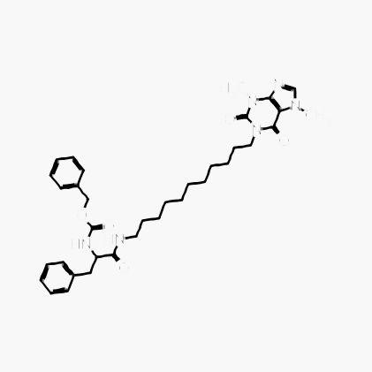 Cn1cnc2c1c(=O)n(CCCCCCCCCCCNC(=O)C(Cc1ccccc1)NC(=O)OCc1ccccc1)c(=O)n2C